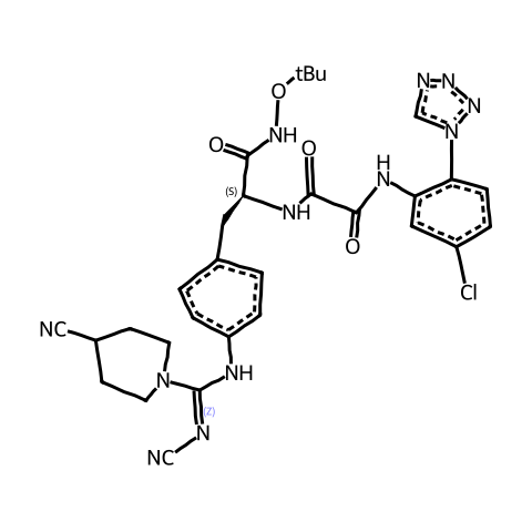 CC(C)(C)ONC(=O)[C@H](Cc1ccc(N/C(=N/C#N)N2CCC(C#N)CC2)cc1)NC(=O)C(=O)Nc1cc(Cl)ccc1-n1cnnn1